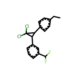 CCc1ccc(C2C(c3cccc(C(F)F)c3)C2(Cl)Cl)cc1